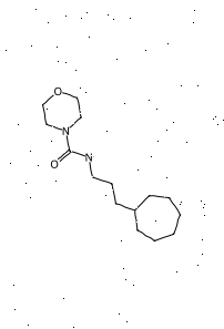 O=C([N]CCCC1CCCCCC1)N1CCOCC1